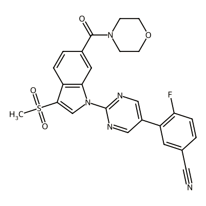 CS(=O)(=O)c1cn(-c2ncc(-c3cc(C#N)ccc3F)cn2)c2cc(C(=O)N3CCOCC3)ccc12